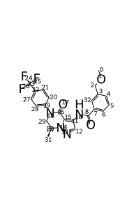 COCc1cccc(C(=O)Nc2cnn3c2C(=O)N(c2ccc(C(F)(F)F)cc2)C[C@@H]3C)c1